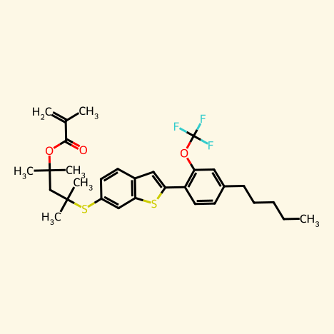 C=C(C)C(=O)OC(C)(C)CC(C)(C)Sc1ccc2cc(-c3ccc(CCCCC)cc3OC(F)(F)F)sc2c1